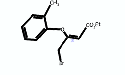 CCOC(=O)/C=C(/CBr)Oc1ccccc1C